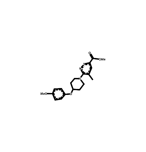 COC(=O)c1cc(C)c(N2CCC(Oc3ccc(OC)cc3)CC2)nn1